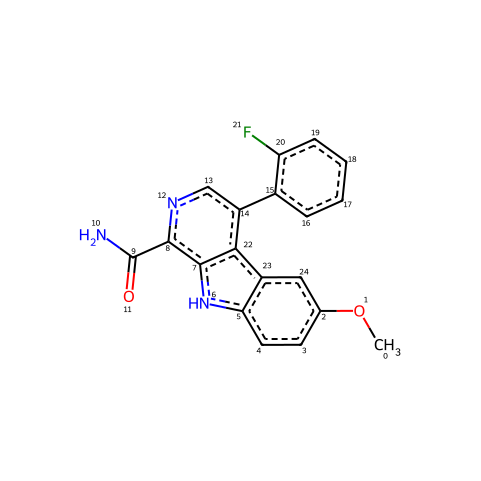 COc1ccc2[nH]c3c(C(N)=O)ncc(-c4ccccc4F)c3c2c1